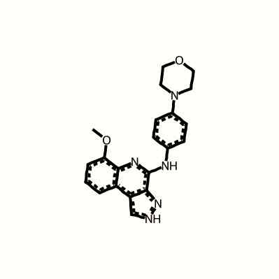 COc1cccc2c1nc(Nc1ccc(N3CCOCC3)cc1)c1n[nH]cc12